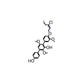 COc1cc(-c2c(OC)cc(-c3ccc(O)cc3)c(OC)c2O)ccc1OC/C=C(/Cl)CI